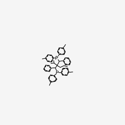 CCCC(C(C)C)(C(c1ccccc1)P(c1ccc(C)cc1)c1ccc(C)cc1)C(c1ccccc1)P(c1ccc(C)cc1)c1ccc(C)cc1